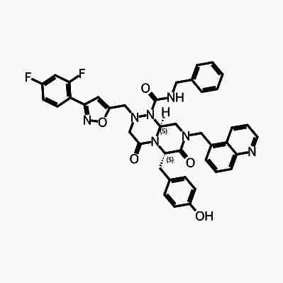 O=C1[C@H](Cc2ccc(O)cc2)N2C(=O)CN(Cc3cc(-c4ccc(F)cc4F)no3)N(C(=O)NCc3ccccc3)[C@H]2CN1Cc1cccc2ncccc12